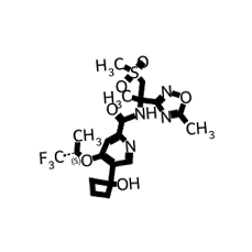 Cc1nc(C(C)(CS(C)(=O)=O)NC(=O)c2cc(O[C@@H](C)C(F)(F)F)c(C3(O)CCC3)cn2)no1